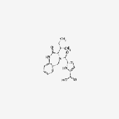 CC[C@H](C)[C@H]1C(=O)Nc2ccccc2CN1C(=O)c1ccc(C(=O)O)[nH]1